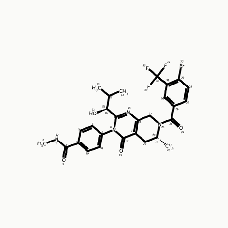 CNC(=O)c1ccc(-n2c([C@@H](O)C(C)C)nc3c(c2=O)C[C@@H](C)N(C(=O)c2ccc(Br)c(C(F)(F)F)c2)C3)cc1